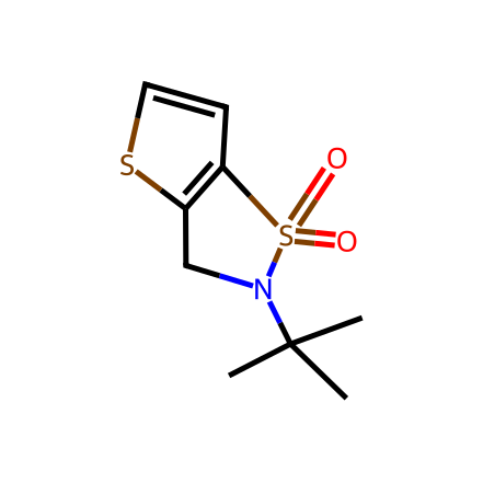 CC(C)(C)N1Cc2sccc2S1(=O)=O